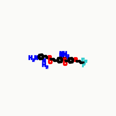 N.N.Nc1ccc(CCOC(=O)/C=C/c2ccc(OC(=O)c3ccc(OCCCC(F)(F)F)cc3)cc2)c(N)c1